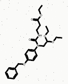 CCOC(=O)CCNC(=O)N(CC(OCC)OCC)c1ccc(OCc2ccccc2)cc1